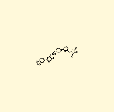 O=C1NC(=O)/C(=C/c2ccnc(N3CCC(CNCc4cc(-c5ccc6c(c5)OCO6)ncc4F)CC3)n2)S1